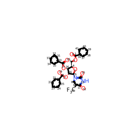 O=C(OC[C@H]1O[C@@H](n2cc(C(F)(F)F)c(=O)[nH]c2=O)[C@H](OC(=O)c2ccccc2)[C@@H]1OC(=O)c1ccccc1)c1ccccc1